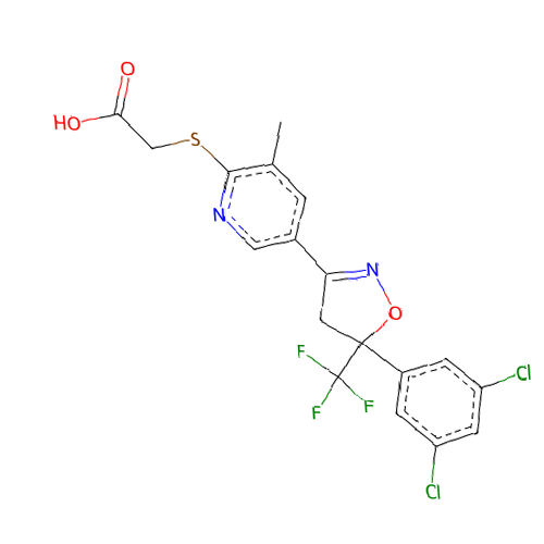 Cc1cc(C2=NOC(c3cc(Cl)cc(Cl)c3)(C(F)(F)F)C2)cnc1SCC(=O)O